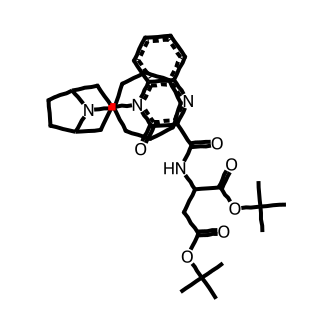 CC(C)(C)OC(=O)CC(NC(=O)c1nc2ccccc2n(C2CC3CCC(C2)N3C2CCCCCCC2)c1=O)C(=O)OC(C)(C)C